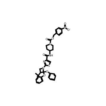 CC(C)(C)C1CN(c2nc(C(=O)NC3CCN(C(=O)OCc4ccc([N+](=O)[O-])cc4)CC3)cs2)C1(Oc1ccccc1)Oc1ccccc1